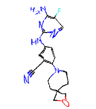 N#Cc1cc(Nc2ncc(F)c(N)n2)ccc1N1CCC2(CC1)COC2